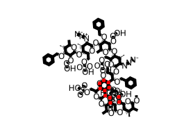 CO[C@H]1OC(COS(=O)(=O)O)[C@@H](O[C@@H]2OC(C)[C@@H](O[C@H]3OC(COS(=O)(=O)O)[C@@H](O[C@@H]4OC(C)[C@H](O[C@@H]5OC(COS(=O)(=O)O)[C@@H](O[C@@H]6OC(C)[C@@H](O[C@@H]7OC(COS(=O)(=O)O)[C@@H](O[C@@H]8OC(C)[C@@H](C)[C@@H](OCc9ccccc9)C8OOO)[C@H](C)C7N=[N+]=[N-])[C@@H](OCc7ccccc7)C6OOO)[C@H](C)C5N=[N+]=[N-])[C@@H](OCc5ccccc5)C4OOO)[C@H](C)C3N=[N+]=[N-])[C@@H](OCc3ccccc3)C2OOO)[C@H](C)C1C